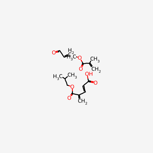 C=C(C)C(=O)OC.C=C(C=CC(=O)O)C(=O)OCC(C)C.C=CC=O